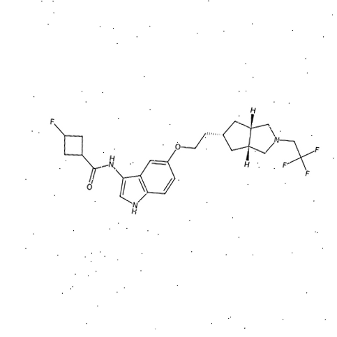 O=C(Nc1c[nH]c2ccc(OCC[C@@H]3C[C@@H]4CN(CC(F)(F)F)C[C@@H]4C3)cc12)C1CC(F)C1